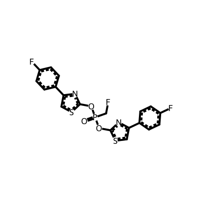 O=P(CF)(Oc1nc(-c2ccc(F)cc2)cs1)Oc1nc(-c2ccc(F)cc2)cs1